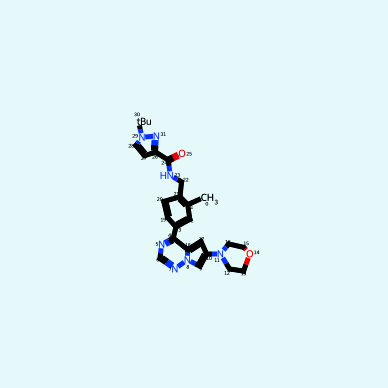 Cc1cc(-c2ncnn3cc(N4CCOCC4)cc23)ccc1CNC(=O)c1ccn(C(C)(C)C)n1